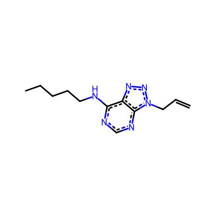 C=CCn1nnc2c(NCCCCC)ncnc21